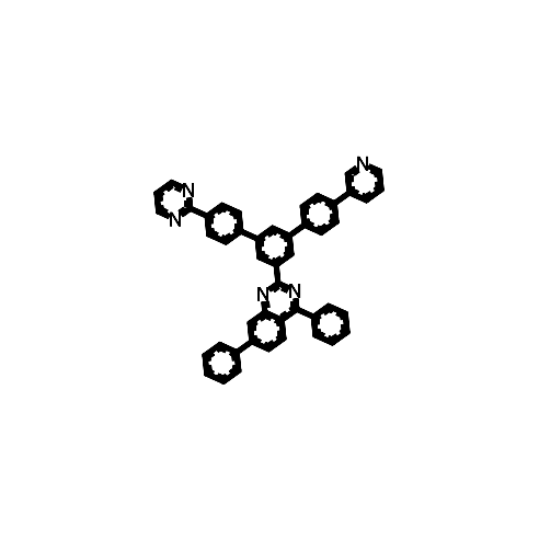 c1ccc(-c2ccc3c(-c4ccccc4)nc(-c4cc(-c5ccc(-c6cccnc6)cc5)cc(-c5ccc(-c6ncccn6)cc5)c4)nc3c2)cc1